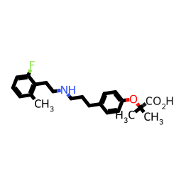 Cc1cccc(F)c1CCNCCCc1ccc(OC(C)(C)C(=O)O)cc1